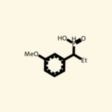 CCC(c1cccc(OC)c1)[PH](=O)O